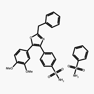 COc1ccc(-c2oc(Cc3ccccc3)nc2-c2ccc(S(N)(=O)=O)cc2)cc1OC.NS(=O)(=O)c1ccccc1